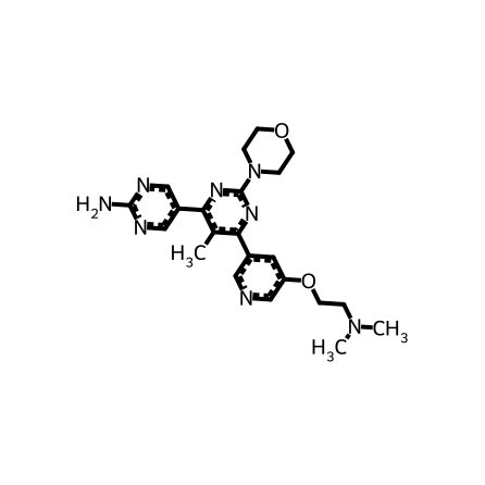 Cc1c(-c2cnc(N)nc2)nc(N2CCOCC2)nc1-c1cncc(OCCN(C)C)c1